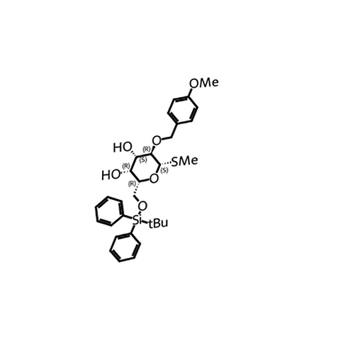 COc1ccc(CO[C@@H]2[C@@H](O)[C@@H](O)[C@@H](CO[Si](c3ccccc3)(c3ccccc3)C(C)(C)C)O[C@H]2SC)cc1